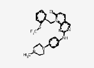 CN1CCN(c2ccc(Nc3ncc4ccc(=O)n(Cc5ccccc5SC(F)(F)F)c4n3)cc2)CC1